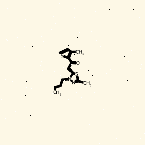 CCCCN1N=C(C)S/C1=C\C(=O)c1sccc1C